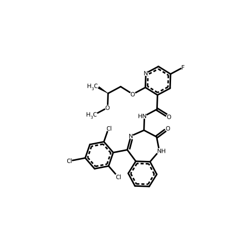 CO[C@@H](C)COc1ncc(F)cc1C(=O)NC1N=C(c2c(Cl)cc(Cl)cc2Cl)c2ccccc2NC1=O